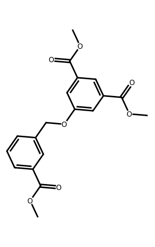 COC(=O)c1cccc(COc2cc(C(=O)OC)cc(C(=O)OC)c2)c1